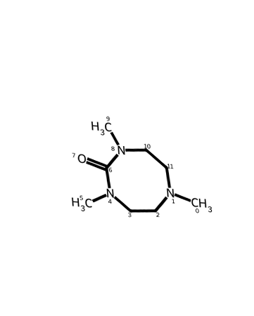 CN1CCN(C)C(=O)N(C)CC1